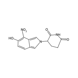 O=C1CCC(n2cc3ccc(O)c([N+](=O)[O-])c3c2)C(=O)N1